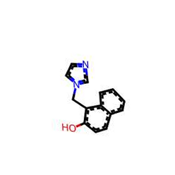 Oc1ccc2ccccc2c1Cn1ccnc1